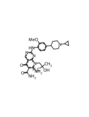 COc1cc(C2CCN(C3CC3)CC2)ccc1Nc1ncc2c(=O)c(C(N)=O)c(N)n(CC(C)(C)O)c2n1